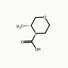 C[C@@H]1COCCN1C(=O)O